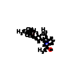 CCc1c(-c2ccc(CO[Si](C)(C)C(C)(C)C)cc2)c2cc(C(C)=O)c3cccc1n32